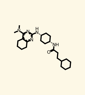 CN(C)c1nc(N[C@H]2CC[C@@H](NC(=O)CCC3CCCCC3)CC2)nc2c1CCCC2